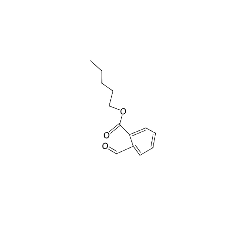 CCCCCOC(=O)c1ccccc1C=O